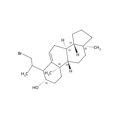 CC(CBr)C1C2=CC[C@H]3[C@@H]4CCC[C@@]4(C)CC[C@@H]3[C@@]2(C)CC[C@@H]1O